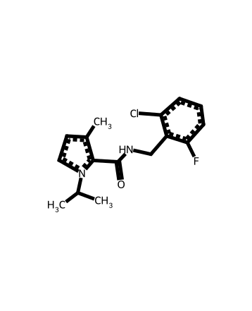 Cc1ccn(C(C)C)c1C(=O)NCc1c(F)cccc1Cl